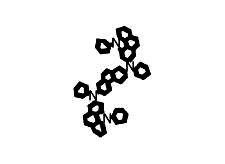 c1ccc(N(c2ccc3c(ccc4cc(N(c5ccccc5)c5cc6ccc7cccc8c7c6c(c5)n8-c5ccccc5)ccc43)c2)c2cc3ccc4cccc5c4c3c(c2)n5-c2ccccc2)cc1